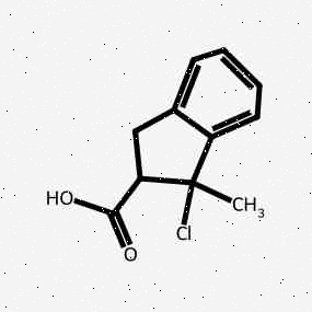 CC1(Cl)c2ccccc2CC1C(=O)O